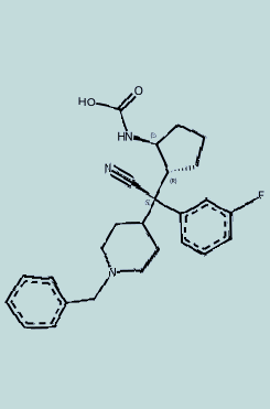 N#C[C@@](c1cccc(F)c1)(C1CCN(Cc2ccccc2)CC1)[C@H]1CCC[C@@H]1NC(=O)O